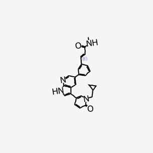 CNC(=O)/C=C/c1cccc(-c2cnc3[nH]cc(-c4ccc(=O)n(CC5CC5)c4)c3c2)c1